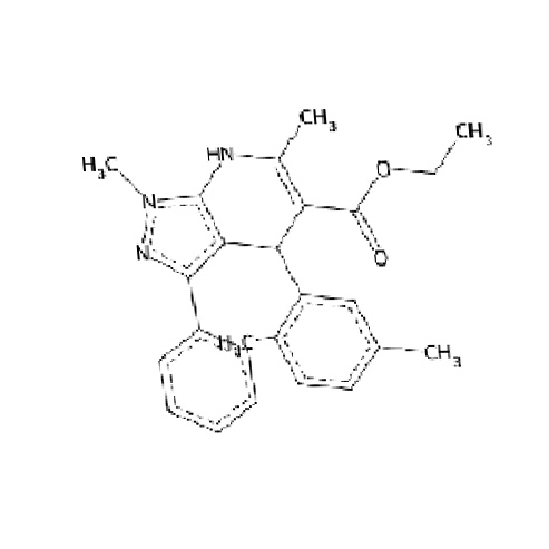 CCOC(=O)C1=C(C)Nc2c(c(-c3ccccc3)nn2C)C1c1cc(C)ccc1C